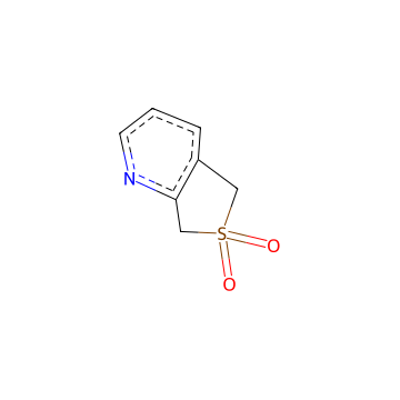 O=S1(=O)Cc2cccnc2C1